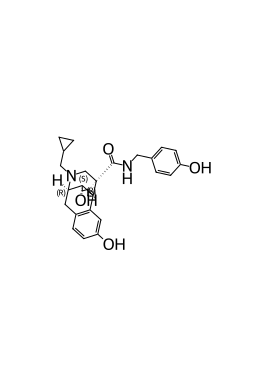 O=C(NCc1ccc(O)cc1)[C@@H]1C[C@]23CCN(CC4CC4)[C@H](Cc4ccc(O)cc42)[C@]3(O)C1